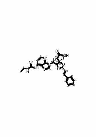 CCNC(=O)Nc1ncnc2c1ncn2C1OC(C(=O)O)[C@H]2O[C@@H](C=Cc3ccccc3)OC12